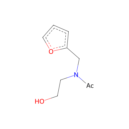 CC(=O)N(CCO)Cc1ccco1